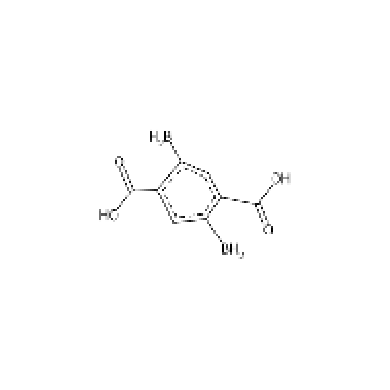 Bc1cc(C(=O)O)c(B)cc1C(=O)O